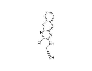 C#CCNc1nc2cc3ccccc3cc2nc1Cl